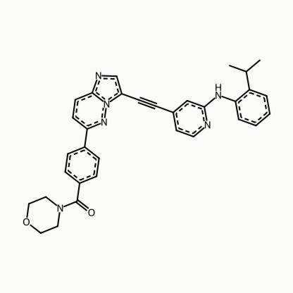 CC(C)c1ccccc1Nc1cc(C#Cc2cnc3ccc(-c4ccc(C(=O)N5CCOCC5)cc4)nn23)ccn1